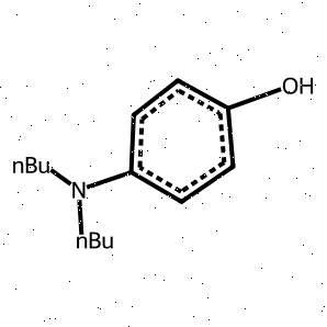 CCCCN(CCCC)c1ccc(O)cc1